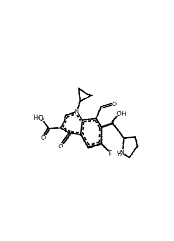 O=Cc1c(C(O)C2CCCN2)c(F)cc2c(=O)c(C(=O)O)cn(C3CC3)c12